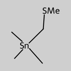 CS[CH2][Sn]([CH3])([CH3])[CH3]